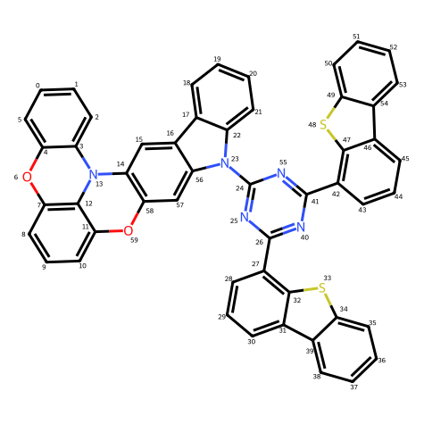 c1ccc2c(c1)Oc1cccc3c1N2c1cc2c4ccccc4n(-c4nc(-c5cccc6c5sc5ccccc56)nc(-c5cccc6c5sc5ccccc56)n4)c2cc1O3